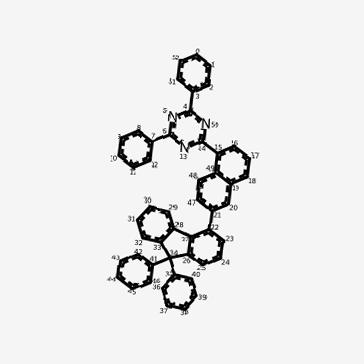 c1ccc(-c2nc(-c3ccccc3)nc(-c3cccc4cc(-c5cccc6c5-c5ccccc5C6(c5ccccc5)c5ccccc5)ccc34)n2)cc1